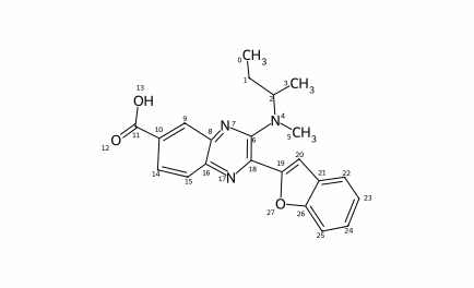 CCC(C)N(C)c1nc2cc(C(=O)O)ccc2nc1-c1cc2ccccc2o1